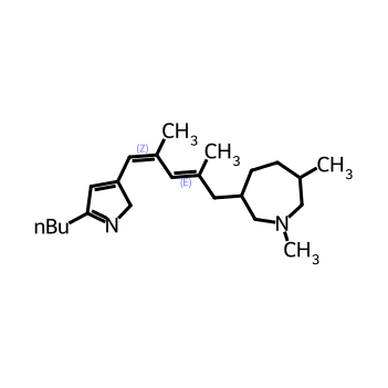 CCCCC1=NCC(/C=C(C)\C=C(/C)CC2CCC(C)CN(C)C2)=C1